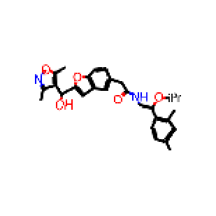 Cc1ccc(C(CNC(=O)Cc2ccc3oc(C(O)c4c(C)noc4C)cc3c2)OC(C)C)c(C)c1